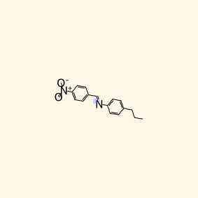 CCCc1ccc(/N=C/c2ccc([N+](=O)[O-])cc2)cc1